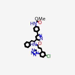 COC(=O)Nc1ccc(-c2cc(C(Cc3ccccc3)NC(=O)C=Cc3cc(Cl)ccc3-n3cnnn3)cnn2)cc1